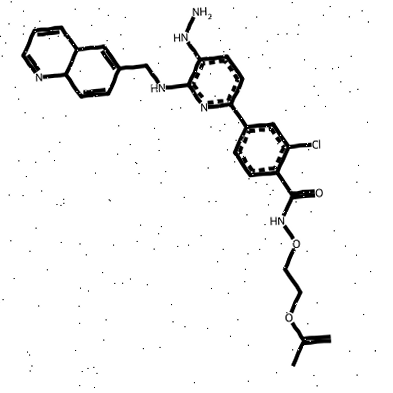 C=C(C)OCCONC(=O)c1ccc(-c2ccc(NN)c(NCC3=CC4C=CC=NC4C=C3)n2)cc1Cl